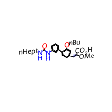 CCCCCCCNC(=O)Nc1cccc(-c2ccc(/C=C(/OC)C(=O)O)cc2OCCCC)c1